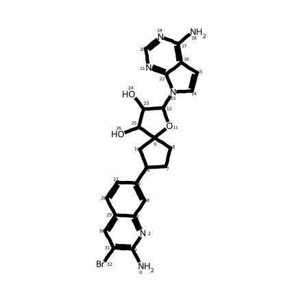 Nc1nc2cc(C3CCC4(C3)OC(n3ccc5c(N)ncnc53)C(O)C4O)ccc2cc1Br